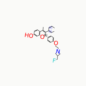 C/C=C\C(=C/C)C1=C(C)c2ccc(O)cc2O[C@H]1c1ccc(OCCN2CC(CF)C2)cc1